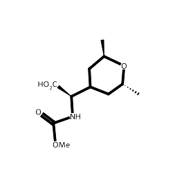 COC(=O)N[C@@H](C(=O)O)C1C[C@@H](C)O[C@H](C)C1